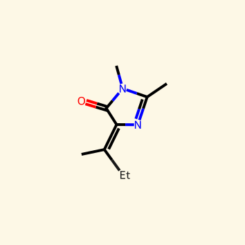 CC/C(C)=C1\N=C(C)N(C)C1=O